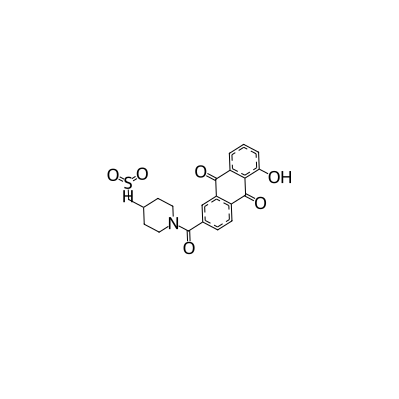 O=C1c2cc(C(=O)N3CCC(C[SH](=O)=O)CC3)ccc2C(=O)c2c(O)cccc21